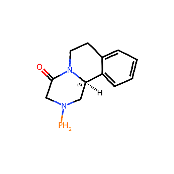 O=C1CN(P)C[C@@H]2c3ccccc3CCN12